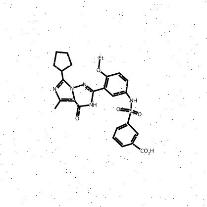 CCOc1ccc(NS(=O)(=O)c2cccc(C(=O)O)c2)cc1-c1nn2c(C3CCCC3)nc(C)c2c(=O)[nH]1